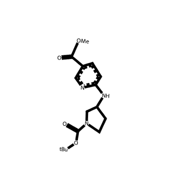 COC(=O)c1ccc(NC2CCN(C(=O)OC(C)(C)C)C2)nc1